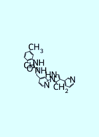 C=C1C(c2cccnc2)=CNN1c1cc(CNC(=O)Nc2cc(C)ccc2C)ccn1